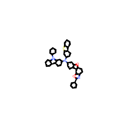 c1ccc(-c2nc3ccc4oc5cc(N(c6ccc7c(c6)sc6ccccc67)c6ccc7c8ccccc8n(-c8ccccc8)c7c6)ccc5c4c3o2)cc1